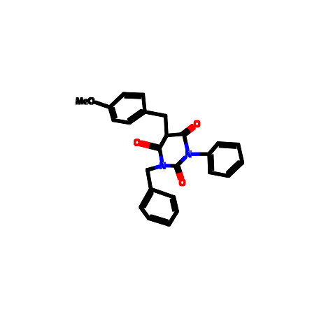 COc1ccc(CC2C(=O)N(Cc3ccccc3)C(=O)N(c3ccccc3)C2=O)cc1